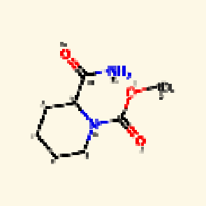 CC(C)(C)OC(=O)N1CCCCC1C(N)=O